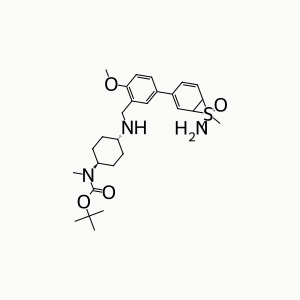 COc1ccc(C2=CC3C(C=C2)S3(C)(N)=O)cc1CN[C@H]1CC[C@H](N(C)C(=O)OC(C)(C)C)CC1